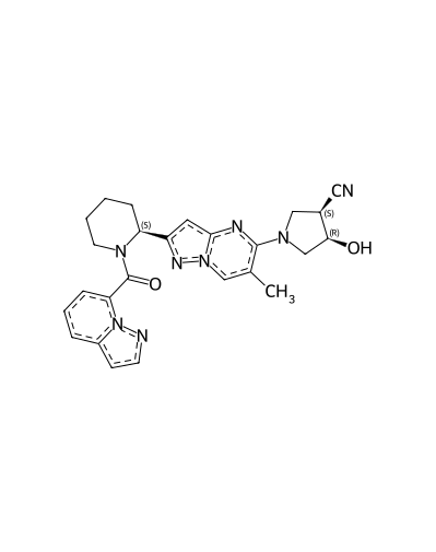 Cc1cn2nc([C@@H]3CCCCN3C(=O)c3cccc4ccnn34)cc2nc1N1C[C@@H](C#N)[C@@H](O)C1